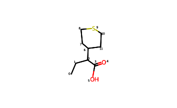 CCC(C(=O)O)C1CCSCC1